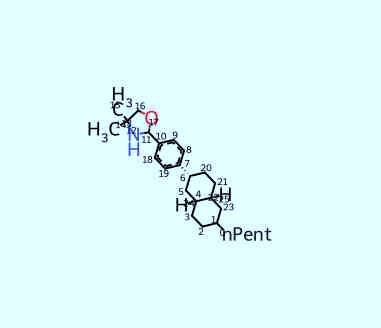 CCCCCC1CC[C@@H]2C[C@H](c3ccc(C4NC(C)(C)CO4)cc3)CC[C@@H]2C1